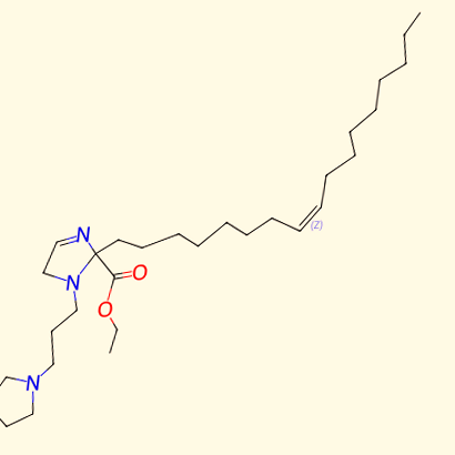 CCCCCCCC/C=C\CCCCCCCC1(C(=O)OCC)N=CCN1CCCN1CCCC1